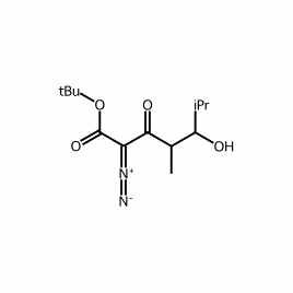 CC(C)C(O)C(C)C(=O)C(=[N+]=[N-])C(=O)OC(C)(C)C